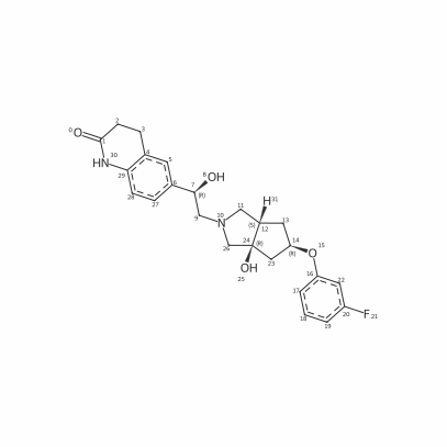 O=C1CCc2cc([C@@H](O)CN3C[C@@H]4C[C@@H](Oc5cccc(F)c5)C[C@]4(O)C3)ccc2N1